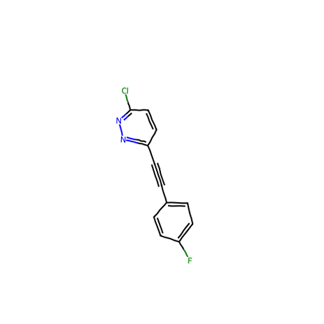 Fc1ccc(C#Cc2ccc(Cl)nn2)cc1